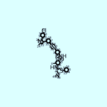 Cc1cc(S(=O)(=O)Nc2ccc(N3CCN(c4cccc(-c5cc(C)n(C)c5-c5ccc(Cl)cc5)c4)CC3)cc2)ccc1N[C@H](CCN(C)C)CSc1ccccc1